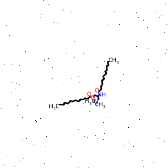 CC/C=C/C/C=C/C/C=C/CCCC(=O)NC(COC(=O)CCC/C=C/C/C=C/C/C=C/CC)CN(C)C